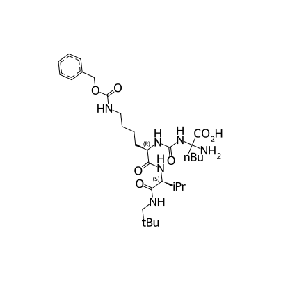 CCCCC(N)(NC(=O)N[C@H](CCCCNC(=O)OCc1ccccc1)C(=O)N[C@H](C(=O)NCC(C)(C)C)C(C)C)C(=O)O